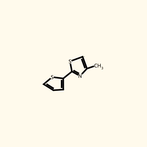 Cc1[c]sc(-c2cccs2)n1